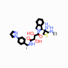 CCN[C@H]1SCC1(N)[C@@H]1c2ccccc2CN1C(=O)[C@H](O)[C@@H](O)C(=O)N[C@H](C)c1ccc(-n2cccn2)cc1